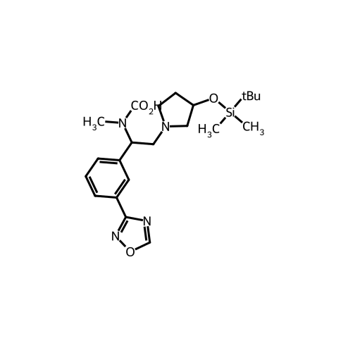 CN(C(=O)O)C(CN1CCC(O[Si](C)(C)C(C)(C)C)C1)c1cccc(-c2ncon2)c1